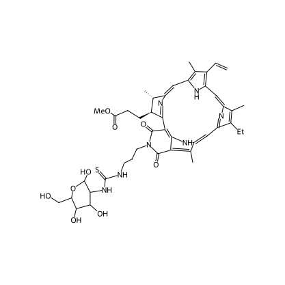 C=Cc1c(C)c2cc3nc(c4c5[nH]c(cc6nc(cc1[nH]2)C(C)=C6CC)c(C)c5C(=O)N(CCCNC(=S)NC1C(O)OC(CO)C(O)C1O)C4=O)[C@@H](CCC(=O)OC)[C@@H]3C